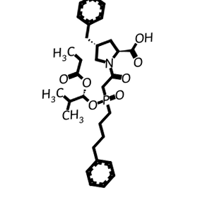 CCC(=O)O[C@H](OP(=O)(CCCCc1ccccc1)CC(=O)N1C[C@H](Cc2ccccc2)C[C@H]1C(=O)O)C(C)C